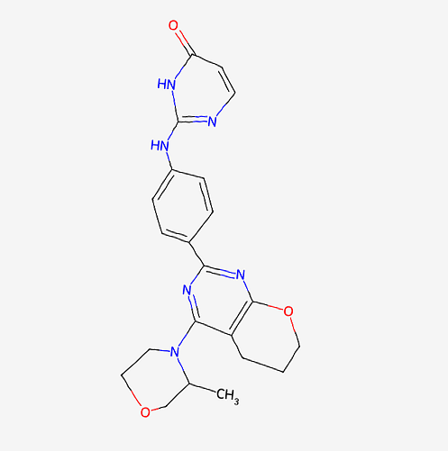 CC1COCCN1c1nc(-c2ccc(Nc3nccc(=O)[nH]3)cc2)nc2c1CCCO2